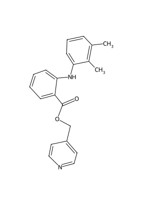 Cc1cccc(Nc2ccccc2C(=O)OCc2ccncc2)c1C